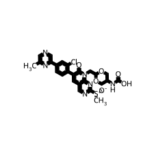 Cc1cncc(-c2ccc(-c3cc4cnc([S+](C)[O-])nc4n(CC4OCC(NC(=O)O)CO4)c3=O)c(Cl)c2)n1